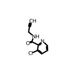 C#CCNC(=O)c1ncccc1Cl